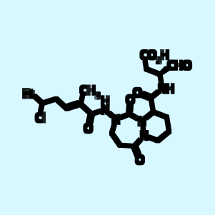 CCC(Cl)C/C=C(\C)C(=O)NN1CCC(=O)N2CCCC(C(=O)N[C@H](C=O)CC(=O)O)N2C1=O